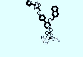 CC(C)(C)OC(=O)ON1CCC(c2ccc(OCc3nc(-c4cccs4)no3)cc2)C(OCc2ccc3ccccc3c2)C1